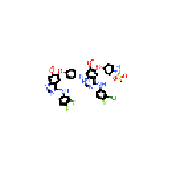 COc1cc2ncnc(Nc3ccc(F)c(Cl)c3)c2cc1O[C@H]1CC[C@H](N)CC1.COc1cc2ncnc(Nc3ccc(F)c(Cl)c3)c2cc1O[C@H]1CC[C@H](NS(C)(=O)=O)CC1